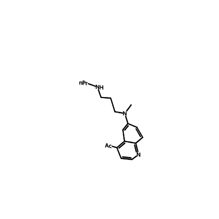 CCCNCCCN(C)c1ccc2nccc(C(C)=O)c2c1